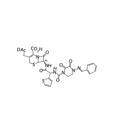 CC(=O)OCC1=C(C(=O)O)N2C(=O)[C@@H](NC(=O)C(NC(=O)N3CCN(N=Cc4ccccc4)C(=O)C3=O)c3cccs3)C2SC1